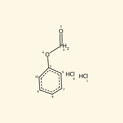 Cl.Cl.O=[PH2]Oc1ccccc1